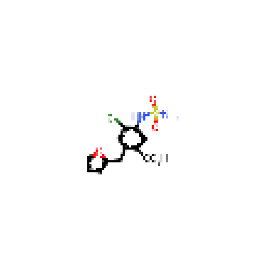 NS(=O)(=O)Nc1cc(C(=O)O)c(Cc2ccco2)cc1Cl